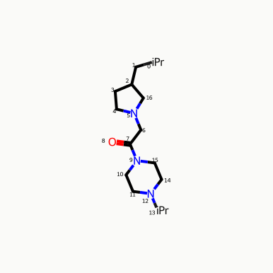 CC(C)CC1CCN(CC(=O)N2CCN(C(C)C)CC2)C1